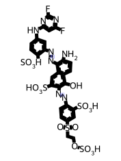 Nc1ccc2c(O)c(/N=N/c3ccc(S(=O)(=O)CCOS(=O)(=O)O)cc3S(=O)(=O)O)c(S(=O)(=O)O)cc2c1/N=N/c1cc(Nc2cc(F)nc(F)n2)ccc1S(=O)(=O)O